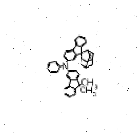 CC1(C)c2ccccc2-c2cc(N(c3ccccc3)c3ccc4c(c3)C3(c5ccccc5-4)C4CC5CC(C4)CC3C5)ccc21